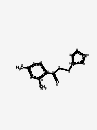 Cc1ccc(C(=O)CCn2ccnc2)c(C)c1